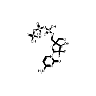 Nc1ccn([C@@H]2OC(CCl)(COP(=O)(O)OP(=O)(O)OP(=O)(O)O)[C@@H](O)C2(F)F)c(=O)n1